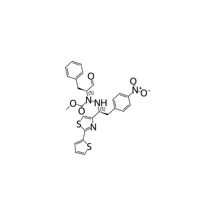 COC(=O)N(N[C@@H](Cc1ccc([N+](=O)[O-])cc1)c1csc(-c2cccs2)n1)[C@H](C=O)Cc1ccccc1